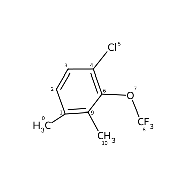 Cc1ccc(Cl)c(OC(F)(F)F)c1C